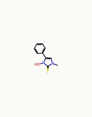 Cn1cc(-c2ccccc2)n(O)c1=S